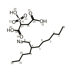 CCCCCCC([CH2][Na])CCCC.O=C(O)CC(C(=O)O)S(=O)(=O)O